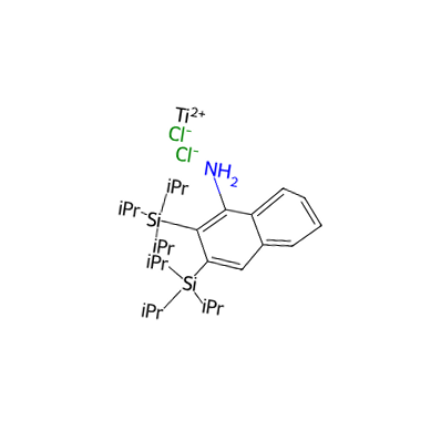 CC(C)[Si](c1cc2ccccc2c(N)c1[Si](C(C)C)(C(C)C)C(C)C)(C(C)C)C(C)C.[Cl-].[Cl-].[Ti+2]